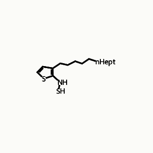 CCCCCCCCCCCCc1ccsc1NS